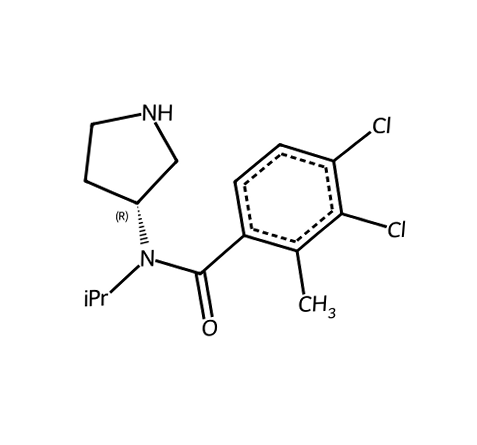 Cc1c(C(=O)N(C(C)C)[C@@H]2CCNC2)ccc(Cl)c1Cl